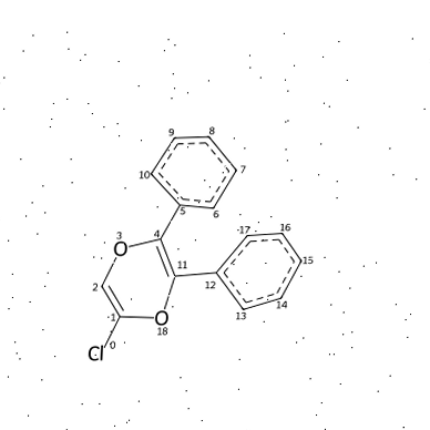 ClC1=COC(c2ccccc2)=C(c2ccccc2)O1